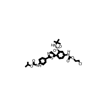 CC(C)OC(=O)Nc1ccc(-c2ncc(-c3ccc(NC(=O)OCCCl)cc3S(=O)(=O)NC(C)(C)C)s2)cc1